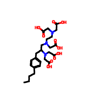 CCCCc1ccc(CC(CN(CCN(CC(=O)O)CC(=O)O)CC(=O)O)N(CC(=O)O)CC(=O)O)cc1